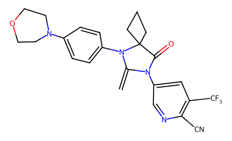 C=C1N(c2cnc(C#N)c(C(F)(F)F)c2)C(=O)C2(CCC2)N1c1ccc(N2CCOCC2)cc1